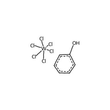 Oc1ccccc1.[Cl][W]([Cl])([Cl])([Cl])([Cl])[Cl]